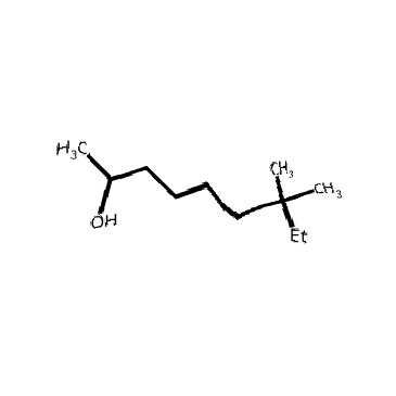 CCC(C)(C)CCCCC(C)O